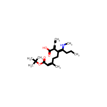 C=C=C(C(=O)O)/C(CC/C(C)=C\C(=O)OC(C)(C)C)=C(/CCC)NC